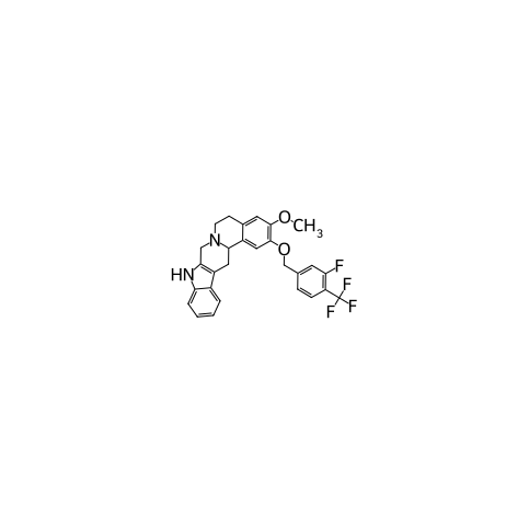 COc1cc2c(cc1OCc1ccc(C(F)(F)F)c(F)c1)C1Cc3c([nH]c4ccccc34)CN1CC2